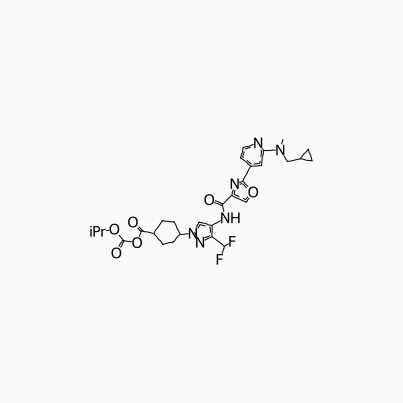 CC(C)OC(=O)OC(=O)C1CCC(n2cc(NC(=O)c3coc(-c4ccnc(N(C)CC5CC5)c4)n3)c(C(F)F)n2)CC1